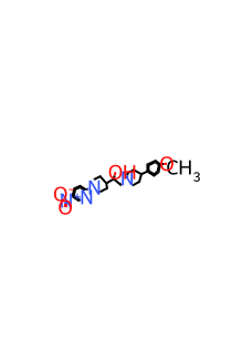 COc1ccc(C2CCN(CC(O)C3CCN(c4ccc([N+](=O)[O-])cn4)CC3)CC2)cc1